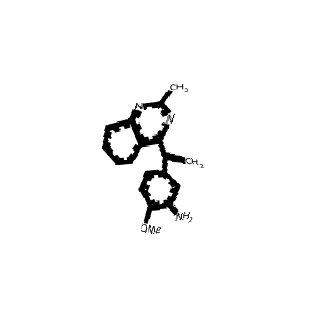 C=C(c1ccc(OC)c(N)c1)c1nc(C)nc2ccccc12